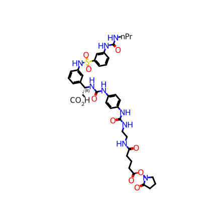 CCCNC(=O)Nc1cccc(S(=O)(=O)Nc2cccc([C@@H](CC(=O)O)NC(=O)Nc3ccc(NC(=O)NCCNC(=O)CCCC(=O)ON4CCCC4=O)cc3)c2)c1